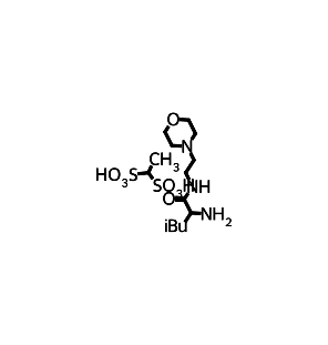 CC(S(=O)(=O)O)S(=O)(=O)O.CCC(C)C(N)C(=O)NCCN1CCOCC1